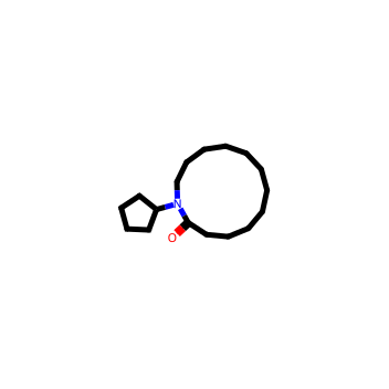 O=C1CCCCCCCCCCCN1C1CCCC1